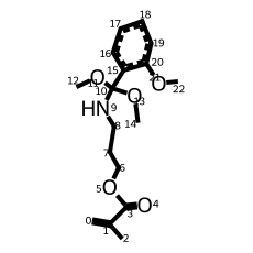 C=C(C)C(=O)OCCCNC(OC)(OC)c1ccccc1OC